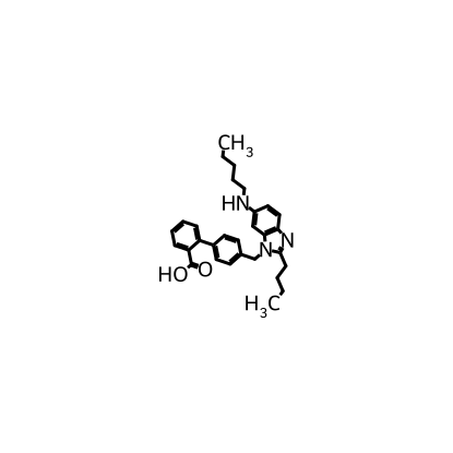 CCCCCNc1ccc2nc(CCCC)n(Cc3ccc(-c4ccccc4C(=O)O)cc3)c2c1